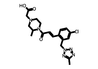 Cc1nnn(Cc2cc(Cl)ccc2C=CC(=O)N2CCN(CC(=O)O)CC2C)n1